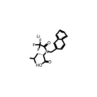 CC(C)C[C@@H](C(=O)O)N(Cc1ccc2ccccc2c1)C(=O)C(F)(F)F.[Li]